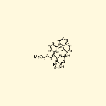 COCCCNc1nc(Nc2ccc3nccc(-c4ccccc4)c3c2)nc2[nH]cnc12